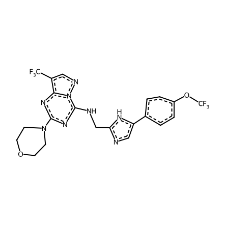 FC(F)(F)Oc1ccc(-c2cnc(CNc3nc(N4CCOCC4)nc4c(C(F)(F)F)cnn34)[nH]2)cc1